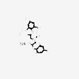 CCc1cc(CC)c(NC(C)CN(C)CC(C)Nc2c(CC)cc(CC)cc2CC)c(CC)c1.[Br-].[Br-].[Co+2]